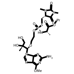 COc1nc(N)nc2c1ncn2[C@H](OCCO[P@](=O)(N[C@@H](C)C(=O)OC(C)C)SC[C@H]1C(=O)N(C)C(=O)N1C)[C@](C)(O)CO